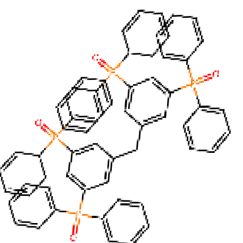 O=P(c1ccccc1)(c1ccccc1)c1cc(Cc2cc(P(=O)(c3ccccc3)c3ccccc3)cc(P(=O)(c3ccccc3)C3C=CC=CC3)c2)cc(P(=O)(c2ccccc2)C2C=CC=CC2)c1